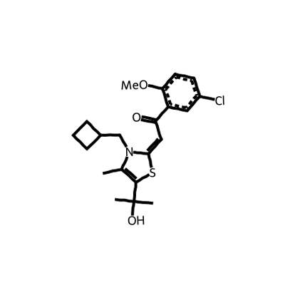 COc1ccc(Cl)cc1C(=O)C=C1SC(C(C)(C)O)=C(C)N1CC1CCC1